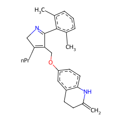 C=C1CCc2cc(OCC3=C(CCC)CN=C3c3c(C)cccc3C)ccc2N1